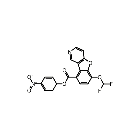 O=C(OC1C=CC([N+](=O)[O-])=CC1)c1ccc(OC(F)F)c2oc3ccncc3c12